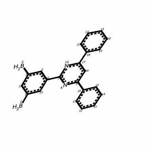 Bc1cc(B)cc(-c2nc(-c3ccccc3)cc(-c3ccccc3)n2)c1